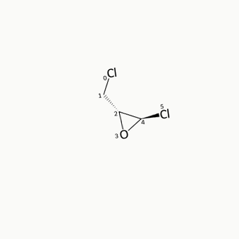 ClC[C@H]1O[C@@H]1Cl